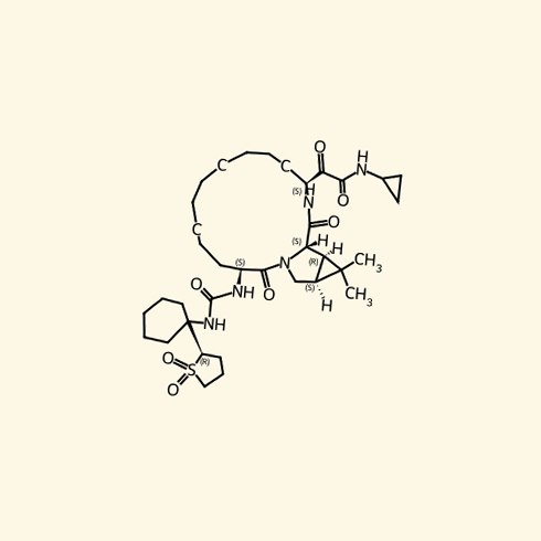 CC1(C)[C@@H]2[C@H]3C(=O)N[C@H](C(=O)C(=O)NC4CC4)CCCCCCCCC[C@H](NC(=O)NC4([C@H]5CCCS5(=O)=O)CCCCC4)C(=O)N3C[C@@H]21